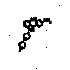 CN1CCC(N2CCC(n3nc(-c4ccc(N)cc4)c4c(N)cncc43)CC2)CC1